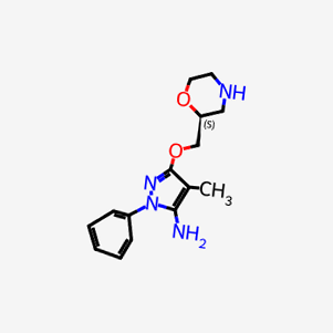 Cc1c(OC[C@@H]2CNCCO2)nn(-c2ccccc2)c1N